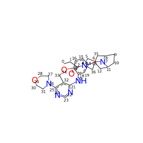 CCC(=O)N1CC(N2C3CCC2CC(c2ccc4c(c2)Nc2ncnc(N5CCOCC5)c2CO4)C3)C1